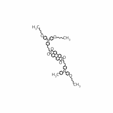 CCCCCCOc1ccc(N(c2ccc(C)cc2)c2ccc(CCCN3C(=O)c4ccc5c6ccc7c8c(ccc(c9ccc(c4c59)C3=O)c86)C(=O)N(CCCc3ccc(N(c4ccc(OCCCCCC)cc4)c4ccc(OCCCCCC)cc4)cc3)C7=O)cc2)cc1